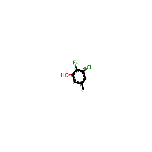 Cc1cc(O)c(F)c(Cl)c1